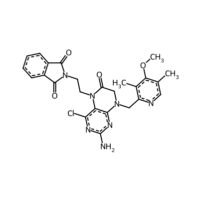 COc1c(C)cnc(CN2CC(=O)N(CCN3C(=O)c4ccccc4C3=O)c3c(Cl)nc(N)nc32)c1C